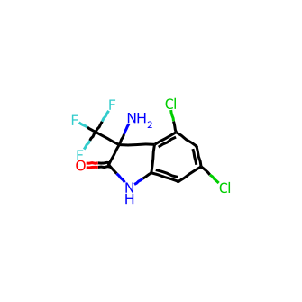 NC1(C(F)(F)F)C(=O)Nc2cc(Cl)cc(Cl)c21